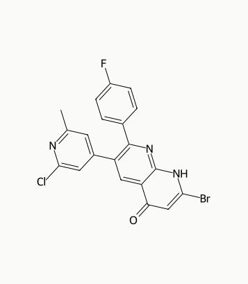 Cc1cc(-c2cc3c(=O)cc(Br)[nH]c3nc2-c2ccc(F)cc2)cc(Cl)n1